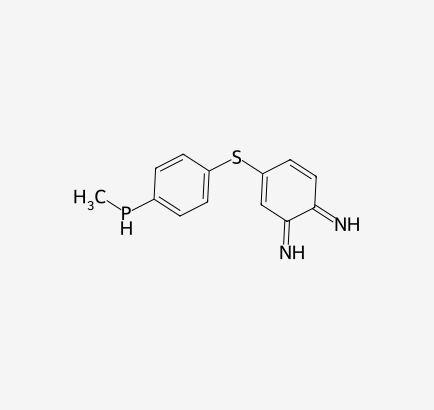 CPc1ccc(SC2=CC(=N)C(=N)C=C2)cc1